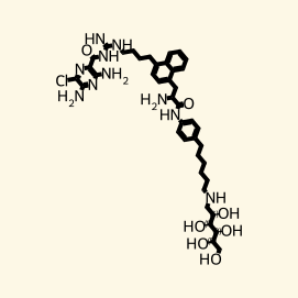 N=C(NCCCCc1ccc(CC(N)C(=O)Nc2ccc(CCCCCCNC[C@H](O)[C@@H](O)[C@H](O)[C@H](O)CO)cc2)c2ccccc12)NC(=O)c1nc(Cl)c(N)nc1N